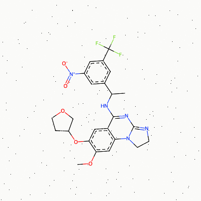 COc1cc2c(cc1OC1CCOC1)C(NC(C)c1cc([N+](=O)[O-])cc(C(F)(F)F)c1)=NC1=NCCN12